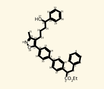 CCOC(=O)C(Cc1ccccc1)c1ccc(-c2ccc(-c3onc(C)c3CCCC(O)c3ccccc3)cc2)cc1